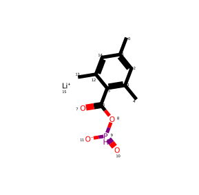 Cc1cc(C)c(C(=O)O[PH](=O)[O-])c(C)c1.[Li+]